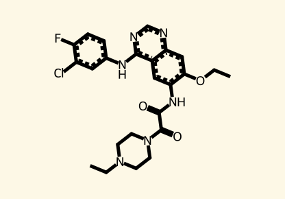 CCOc1cc2ncnc(Nc3ccc(F)c(Cl)c3)c2cc1NC(=O)C(=O)N1CCN(CC)CC1